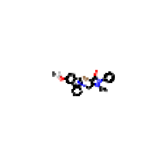 COc1ccc2c(c1)C13CCCCC1C(C2)N(Cc1c(Br)c(=O)n(-c2ccccc2)n1C)CC3